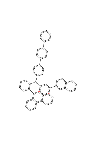 c1ccc(-c2ccc(-c3ccc(N(c4cccc(-c5ccc6ccccc6c5)c4)c4ccccc4-c4cc5ccccc5c5ccccc45)cc3)cc2)cc1